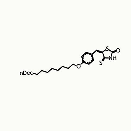 CCCCCCCCCCCCCCCCCCOc1ccc(C=C2SC(=O)NC2=S)cc1